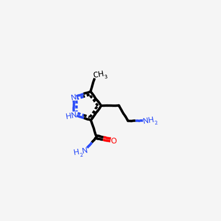 Cc1n[nH]c(C(N)=O)c1CCN